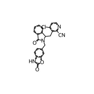 N#Cc1nccc(Cl)c1CC1c2ccccc2C(=O)N1Cc1ccc2[nH]c(=O)oc2c1